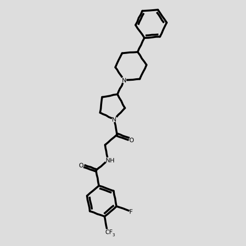 O=C(NCC(=O)N1CCC(N2CCC(c3ccccc3)CC2)C1)c1ccc(C(F)(F)F)c(F)c1